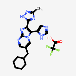 FC(F)(F)c1n[nH]c(-c2nc3ncc(CC4CCCCC4)cn3c2-c2cnc[nH]2)n1.O=C(O)C(F)(F)F